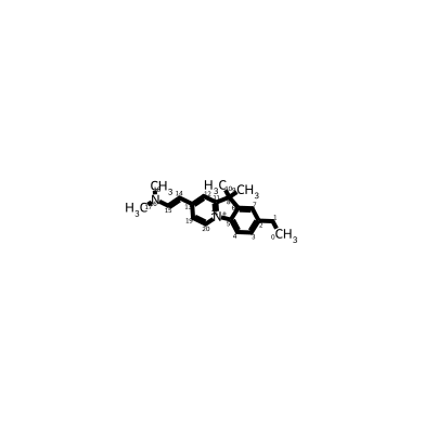 CCc1ccc2c(c1)C(C)(C)c1cc(/C=C/N(C)C)cc[n+]1-2